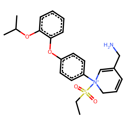 CCS(=O)(=O)[N+]1(c2ccc(Oc3ccccc3OC(C)C)cc2)C=C(CN)C=CC1